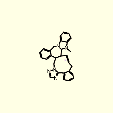 CN1c2ccccc2N2Cc3ccccc3C3Cn4ncnc4-c4ccccc4C/C=C/C3C12